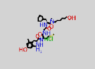 CSCC[C@@H](NC(=O)[C@@H](N)Cc1c(C)cc(O)cc1C)C(=O)NCC(=O)N[C@@H](CC1CCCCC1)C(=O)N(C)CCCCCCO.Cl